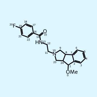 COC1c2ccccc2C2CN(CCNC(=O)c3ccc(F)cc3)CC21